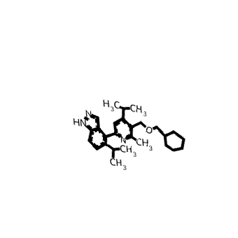 Cc1nc(-c2c(C(C)C)ccc3[nH]ncc23)cc(C(C)C)c1COCC1CCCCC1